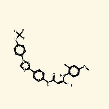 COc1ccc(N/C(O)=C\C(=O)Nc2ccc(-c3ncn(-c4ccc(OC(F)(F)F)cc4)n3)cc2)c(C)c1